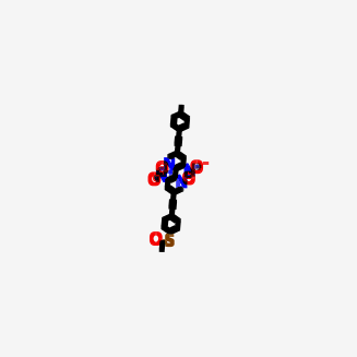 CC(=O)Sc1ccc(C#Cc2cnc(-c3ncc(C#Cc4ccc(C)cc4)cc3[N+](=O)[O-])c([N+](=O)[O-])c2)cc1